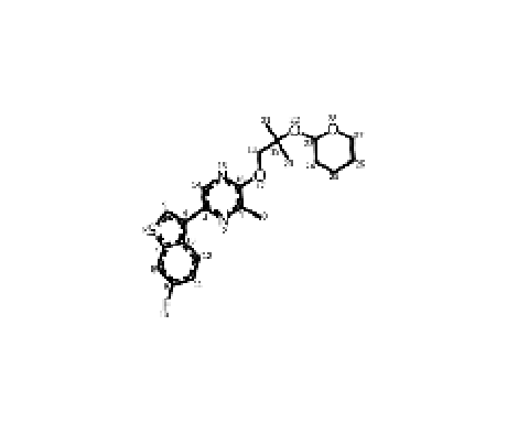 Cc1nc(-c2csc3cc(F)ccc23)cnc1OCC(C)(C)OC1CCCCO1